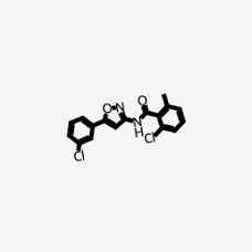 Cc1cccc(Cl)c1C(=O)Nc1cc(-c2cccc(Cl)c2)on1